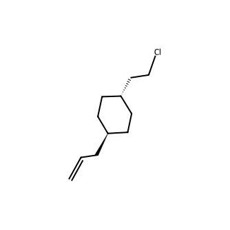 C=CC[C@H]1CC[C@H](CCCl)CC1